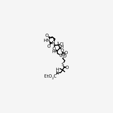 CCOC(=O)NCC(C)(C)C(=O)SCCO[P@]1(=O)OC[C@H]2O[C@@H](n3ccc(=O)[nH]c3=O)[C@](C)(Cl)[C@@H]2O1